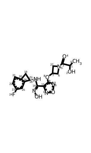 CC(O)C(=O)N1CC(Oc2nonc2C(=NO)N[C@H]2Cc3ccc(F)cc32)C1